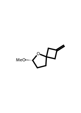 C=C1CC2(CC[C@H](OC)O2)C1